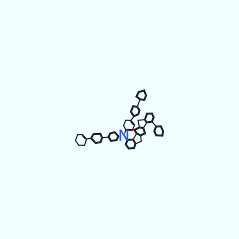 C1=C(c2ccc(-c3ccc(N(C4=CC=C(c5ccc(-c6ccccc6)cc5)CC4)c4cccc5c4-c4cc6c(cc4C5)-c4c(cccc4-c4ccccc4)C6)cc3)cc2)CCCC1